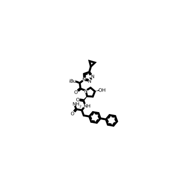 CCC(C)C(C(=O)N1C[C@H](O)C[C@H]1C(=O)NC(Cc1ccc(-c2ccccc2)cc1)C(N)=O)n1cc(C2CC2)nn1